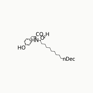 CCCCCCCCCCCCCCCCCCCC(=O)N[C@@H](Cc1ccc(O)cc1)C(=O)O